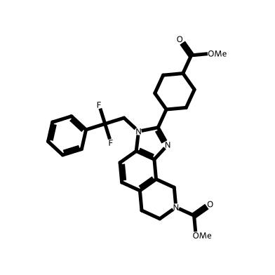 COC(=O)C1CCC(c2nc3c4c(ccc3n2CC(F)(F)c2ccccc2)CCN(C(=O)OC)C4)CC1